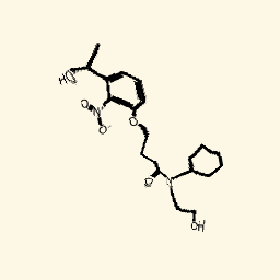 CC(O)c1cccc(OCCCC(=O)N(CCO)C2CCCCC2)c1[N+](=O)[O-]